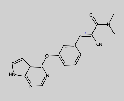 CN(C)C(=O)/C(C#N)=C/c1cccc(Oc2ncnc3[nH]ccc23)c1